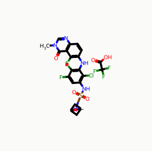 Cn1cnc2ccc(Nc3c(F)c(F)cc(NS(=O)(=O)N4CC5CC4C5)c3Cl)c(F)c2c1=O.O=C(O)C(F)(F)F